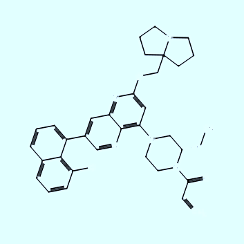 C=CC(=O)N1CCN(c2cc(OCC34CCCN3CCC4)nc3cc(-c4cccc5cccc(Cl)c45)cnc23)C[C@@H]1CC#N